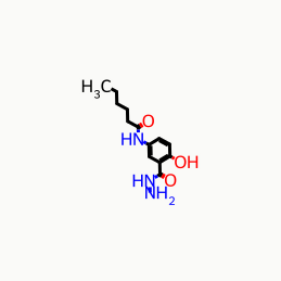 CCCCCC(=O)Nc1ccc(O)c(C(=O)NN)c1